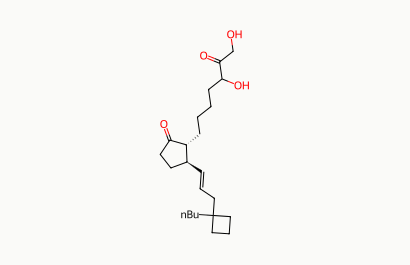 CCCCC1(CC=C[C@H]2CCC(=O)[C@@H]2CCCCC(O)C(=O)CO)CCC1